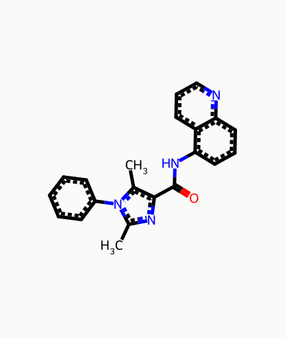 Cc1nc(C(=O)Nc2cccc3ncccc23)c(C)n1-c1ccccc1